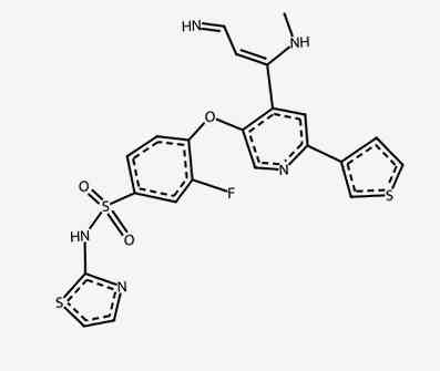 CN/C(=C\C=N)c1cc(-c2ccsc2)ncc1Oc1ccc(S(=O)(=O)Nc2nccs2)cc1F